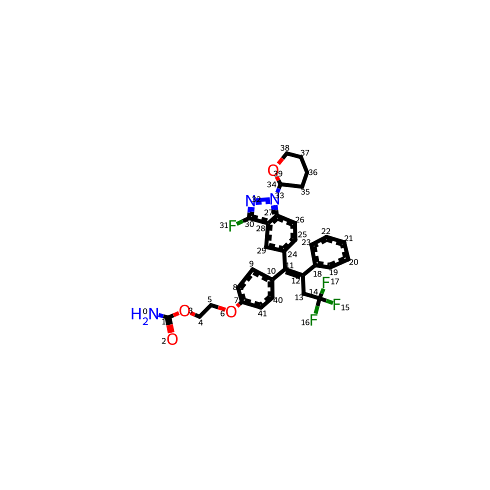 NC(=O)OCCOc1ccc(C(=C(CC(F)(F)F)c2ccccc2)c2ccc3c(c2)c(F)nn3C2CCCCO2)cc1